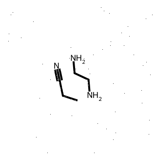 CCC#N.NCCN